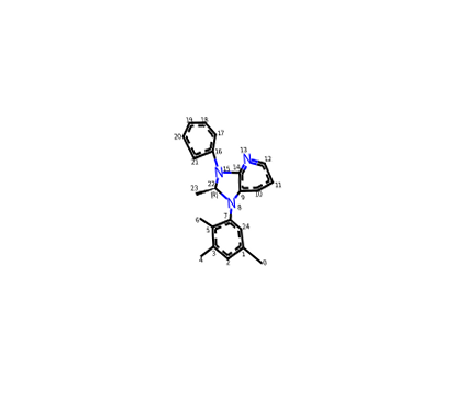 Cc1cc(C)c(C)c(N2c3cccnc3N(c3ccccc3)[C@@H]2C)c1